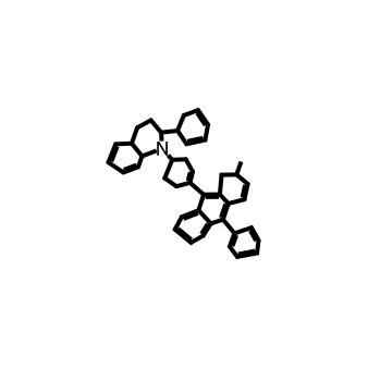 CC1C=Cc2c(c(C3=CCC(N4C5C=CC=CC5CCC4C4C=CC=CC4)CC3)c3ccccc3c2-c2ccccc2)C1